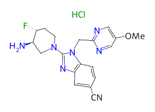 COc1cnc(Cn2c(N3CC[C@@H](F)[C@H](N)C3)nc3cc(C#N)ccc32)nc1.Cl